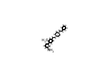 Cc1cc(CCN2CCN(CCc3ccccc3)CC2)ccc1-c1cccc(N)n1